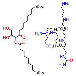 CCCCCCCCCCCCCCCCCC(=O)OC(C(=O)CCCCCCCCCCCCCCCCC)C(O)CO.NCCCNCCCCNCCCNC(N)=O.N[C@@H](CCC(=O)O)C(=O)O.N[C@@H](CCC(=O)O)C(=O)O